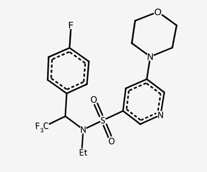 CCN(C(c1ccc(F)cc1)C(F)(F)F)S(=O)(=O)c1cncc(N2CCOCC2)c1